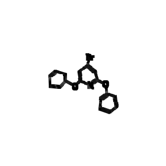 Brc1cc(Oc2ccccc2)nc(Oc2ccccc2)c1